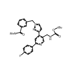 CNC(=O)c1cccc(Cn2ccc(-c3cc(-c4ccc(F)cc4)ncc3CNC(=O)OC(C)(C)C)n2)c1